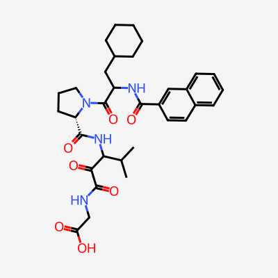 CC(C)C(NC(=O)[C@@H]1CCCN1C(=O)C(CC1CCCCC1)NC(=O)c1ccc2ccccc2c1)C(=O)C(=O)NCC(=O)O